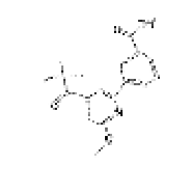 COc1cc(C(=O)C(C)(C)C)cc(-c2cccc(C(=O)O)c2)n1